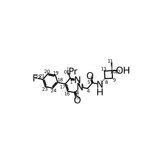 CC(C)c1nn(CC(=O)N[C@H]2C[C@@](C)(O)C2)c(=O)cc1-c1ccc(F)cc1